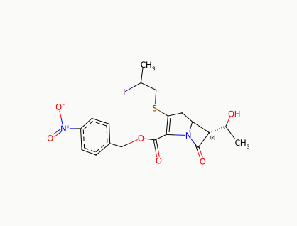 CC(I)CSC1=C(C(=O)OCc2ccc([N+](=O)[O-])cc2)N2C(=O)[C@@H](C(C)O)C2C1